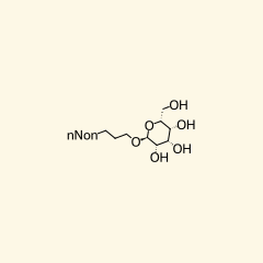 CCCCCCCCCCCCO[C@H]1O[C@H](CO)[C@H](O)[C@H](O)[C@@H]1O